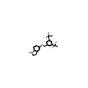 FC(F)(F)c1cc(COc2ccc3c(c2)CCN3)cc(C(F)(F)F)c1